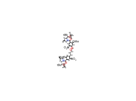 C=C1C[C@@H](C(O[SiH](C)C)C(C)(C)C)N(C(=O)c2cc([N+](=O)[O-])c(CCCOOc3cc(OC)c(C(=O)N4CC(=C)C[C@H]4C(O[SiH](C)C)C(C)(C)C)cc3[N+](=O)[O-])cc2OC)C1